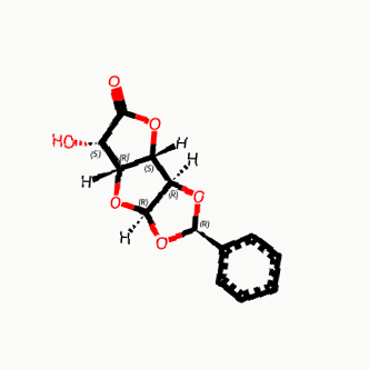 O=C1O[C@@H]2[C@H]3O[C@@H](c4ccccc4)O[C@H]3O[C@@H]2[C@@H]1O